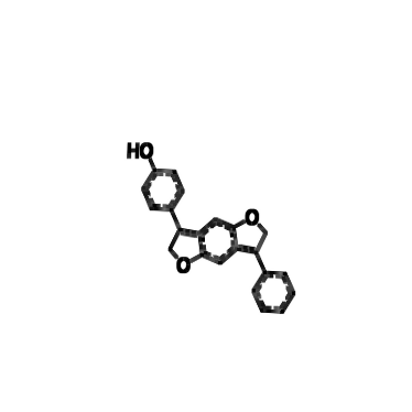 Oc1ccc(C2=c3cc4c(cc3OC2)=C(c2ccccc2)CO4)cc1